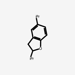 CC(C)c1ccc2c(c1)CC(C(C)C)O2